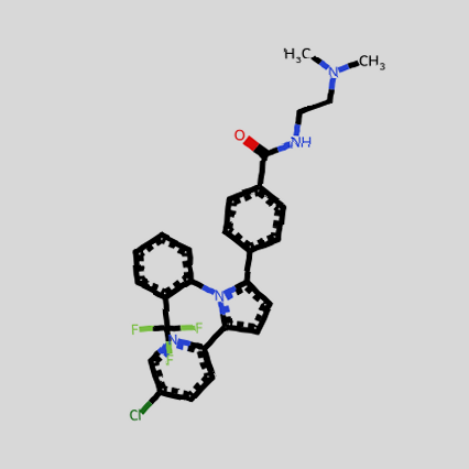 CN(C)CCNC(=O)c1ccc(-c2ccc(-c3ccc(Cl)cn3)n2-c2ccccc2C(F)(F)F)cc1